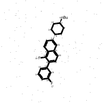 CCCC[C@H]1CC[C@H](c2ccc3c(F)c(-c4cccc(F)c4)ccc3c2)CC1